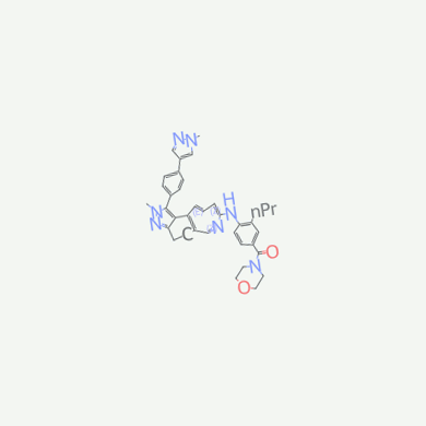 CCCc1cc(C(=O)N2CCOCC2)ccc1NC1=C/C=C/C2=C(/C=N\1)CCc1nn(C)c(-c3ccc(-c4cnn(C)c4)cc3)c12